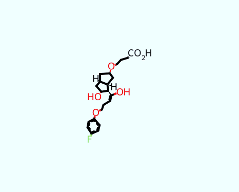 O=C(O)CCCO[C@@H]1C[C@@H]2C[C@@H](O)[C@H](/C(O)=C\CCOc3ccc(F)cc3)[C@@H]2C1